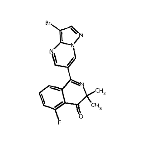 CC1(C)N=C(c2cnc3c(Br)cnn3c2)c2cccc(F)c2C1=O